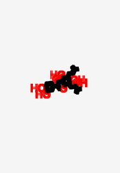 C=C(C)C(O)Cc1c(O)c(CC=C(C)C)c(O)c2c(=O)c(-c3ccc(O)c(O)c3)coc12